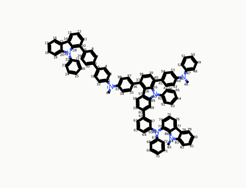 CN(c1ccc(-c2ccc(-c3cccc4c5ccccc5n(-c5ccccc5)c34)cc2)cc1)c1ccc(-c2ccc(-c3ccc(N(C)c4ccccc4)cc3)c3c2c2ccc(-c4cccc(N(c5ccccc5)c5cccc6c7ccccc7n(C)c56)c4)cc2n3-c2ccccc2)cc1